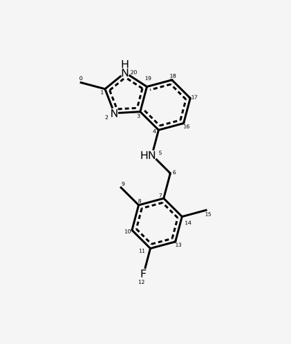 Cc1nc2c(NCc3c(C)cc(F)cc3C)cccc2[nH]1